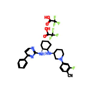 N#Cc1ccc(N2CCC[C@H](N[C@@H]3CCCC[C@H]3Nc3nccc(-c4ccccc4)n3)C2)cc1F.O=C(O)C(F)(F)F.O=C(O)C(F)(F)F